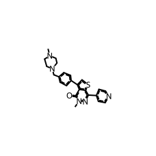 CN1CCN(Cc2ccc(-c3csc4c(-c5ccncc5)nn(C)c(=O)c34)cc2)CC1